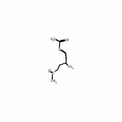 CC(=O)OCC(C)CC[S+](C)[O-]